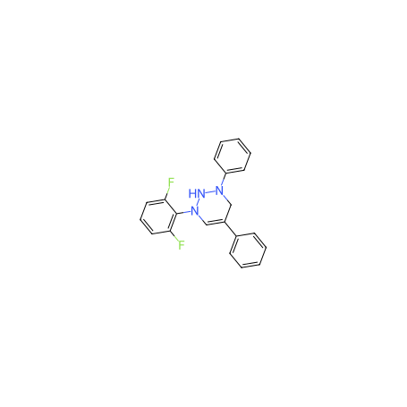 Fc1cccc(F)c1N1C=C(c2ccccc2)CN(c2ccccc2)N1